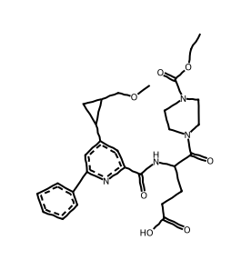 CCOC(=O)N1CCN(C(=O)C(CCC(=O)O)NC(=O)c2cc(C3CC3COC)cc(-c3ccccc3)n2)CC1